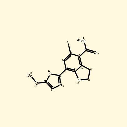 COC(=O)c1c(I)cc(-c2ncc(OC(C)C)s2)c2c1CCO2